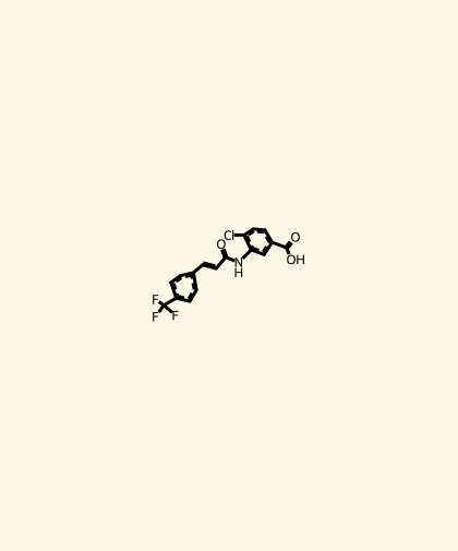 O=C(/C=C/c1ccc(C(F)(F)F)cc1)Nc1cc(C(=O)O)ccc1Cl